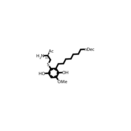 CCCCCCCCCCCCCCCCCc1c(O)c(OC)cc(O)c1SC[C@@H](N)C(C)=O